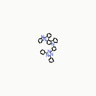 c1ccc(-c2nc(-c3ccccc3)nc(-c3cccc(-n4c5ccccc5c5c6c7ccccc7c7nc8ccccc8n7c6ccc54)c3)n2)cc1